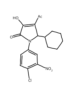 CC(=O)C1=C(O)C(=O)N(c2ccc(Cl)c([N+](=O)[O-])c2)C1C1CCCCC1